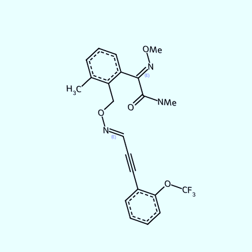 CNC(=O)/C(=N/OC)c1cccc(C)c1CO/N=C/C#Cc1ccccc1OC(F)(F)F